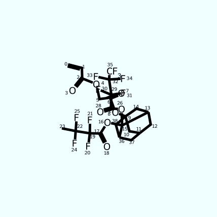 C=CC(=O)OCC(=O)OC12CC3CC(C1)C(OC(=O)C(F)(F)C(C)(F)F)(OC(=O)C(F)(F)C(F)(F)C(F)(F)F)C(C3)C2